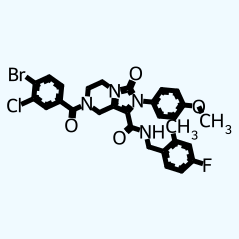 COc1ccc(-n2c(C(=O)NCc3ccc(F)cc3C)c3n(c2=O)CCN(C(=O)c2ccc(Br)c(Cl)c2)C3)cc1